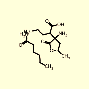 CCCC(C(=O)O)C(N)(CCC)C(=O)O.CCCCCC(N)=O